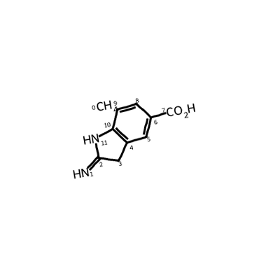 C.N=C1Cc2cc(C(=O)O)ccc2N1